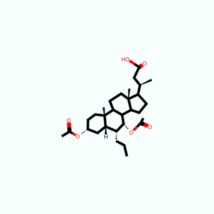 CCC[C@H]1[C@@H](OC(C)=O)C2C3CCC([C@H](C)CC(=O)O)[C@@]3(C)CCC2[C@@]2(C)CC[C@@H](OC(C)=O)C[C@@H]12